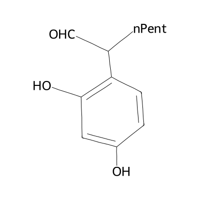 CCCCCC(C=O)c1ccc(O)cc1O